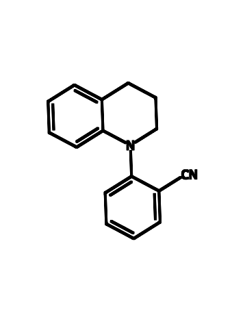 N#Cc1ccccc1N1CCCc2ccccc21